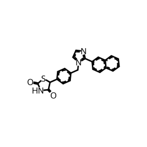 O=C1NC(=O)C(c2ccc(Cn3ccnc3-c3ccc4ccccc4c3)cc2)S1